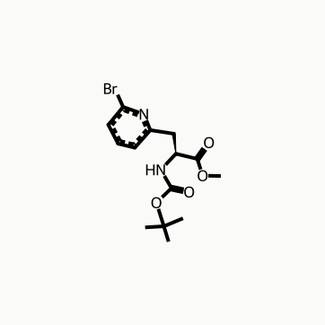 COC(=O)[C@H](Cc1cccc(Br)n1)NC(=O)OC(C)(C)C